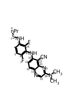 CCCSNc1ccc(F)c(Nc2ccc3ncc(N(C)C)nc3c2C#N)c1F